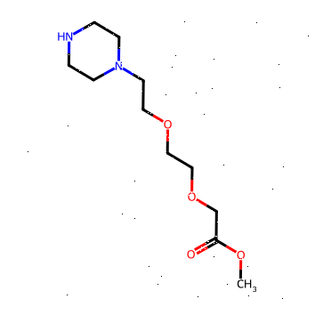 COC(=O)COCCOCCN1CCNCC1